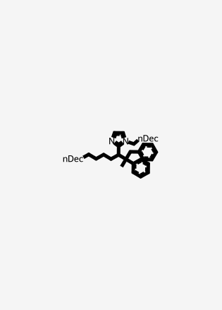 CCCCCCCCCCCCCCC(c1nccn1CCCCCCCCCCC)C(C)(Cc1ccccc1)c1ccccc1